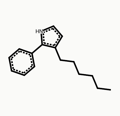 CCCCCCc1cc[nH]c1-c1ccccc1